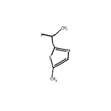 Cc1cnc(C(C)I)s1